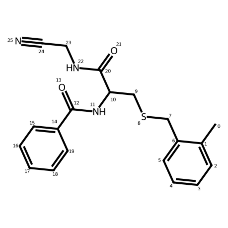 Cc1ccccc1CSCC(NC(=O)c1ccccc1)C(=O)NCC#N